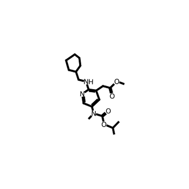 COC(=O)Cc1cc(N(C)C(=O)OC(C)C)cnc1NCC1CCCCC1